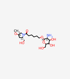 CO[C@@H]1C[C@@H](CO)N(C(=O)CCCCCO[C@@H]2OC(CO)[C@H](O)C(O)[C@@H]2N)C1